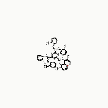 Clc1ccccc1SN(Sc1ccccc1Cl)c1nc(N(Sc2ccccc2Cl)Sc2ccccc2Cl)nc(N(Sc2ccccc2Cl)Sc2ccccc2Cl)n1